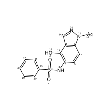 O=S(=O)(Nc1ccc2c(nn[n]2[Ag])c1O)c1ccccc1